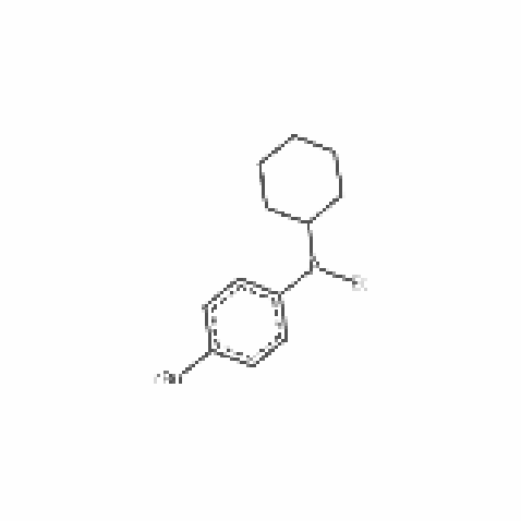 CCCCc1ccc(P(CC)C2CCCCC2)cc1